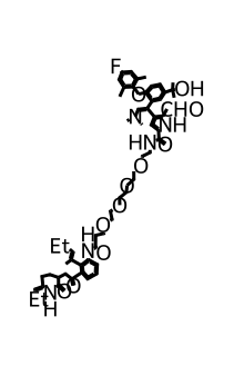 CC/C=C1/CCC(CC(=O)c2cccc(NC(=O)CCOCCOCCOCCOCCNC(=O)c3cc(/C(=C\N(C)C)c4cc(C(C)(C)O)ccc4Oc4c(C)cc(F)cc4C)c(C=O)[nH]3)c2/C(C)=C/CC)C(=O)N1